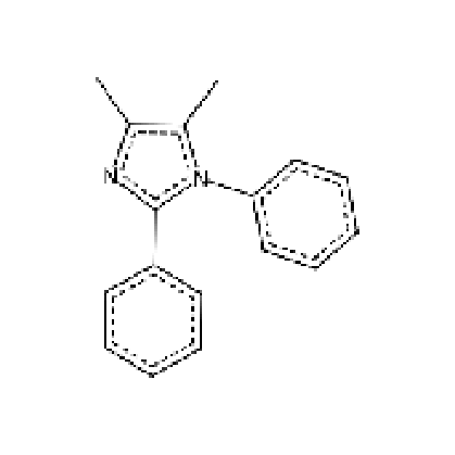 Cc1nc(-c2ccccc2)n(-c2ccccc2)c1C